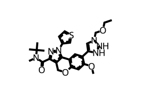 CCOCN1C=C(c2cc3c(cc2OC)OCc2c(C(=O)N(C)C(C)(C)C)nn(-c4ccsc4)c2-3)NN1